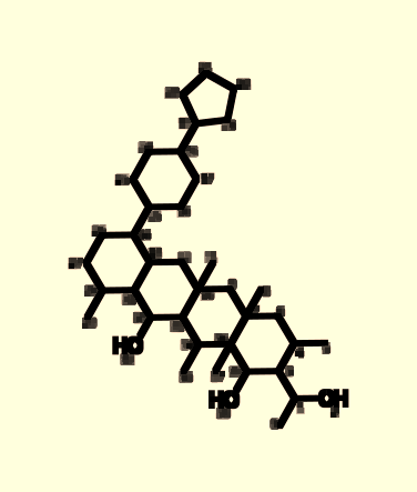 CC(O)C1C(C)CC2(C)CC3(C)CC4C(C5CCC(C6CCCC6)CC5)CCC(C)C4C(O)C3C(C)C2(C)C1O